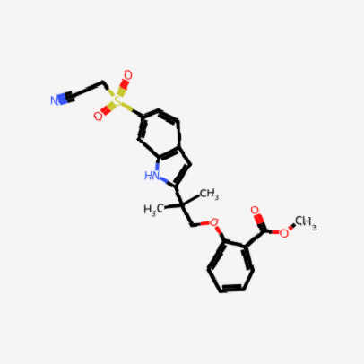 COC(=O)c1ccccc1OCC(C)(C)c1cc2ccc(S(=O)(=O)CC#N)cc2[nH]1